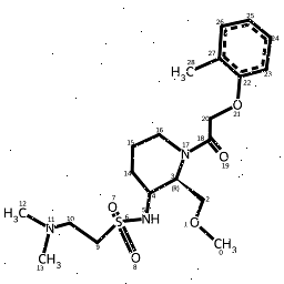 COC[C@H]1C(NS(=O)(=O)CCN(C)C)CCCN1C(=O)COc1ccccc1C